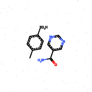 Cc1ccc(S(=O)(=O)O)cc1.NC(=O)c1cncnc1